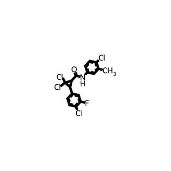 Cc1cc(NC(=O)C2C(c3ccc(Cl)c(F)c3)C2(Cl)Cl)ccc1Cl